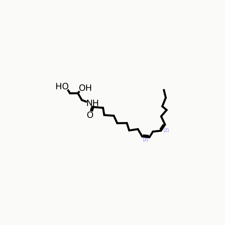 CCCCC/C=C\C/C=C\CCCCCCCC(=O)NCC(O)CO